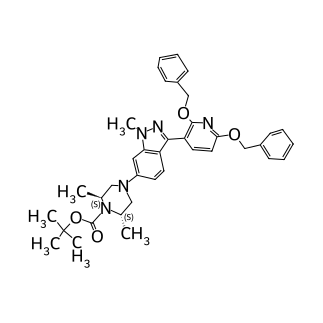 C[C@H]1CN(c2ccc3c(-c4ccc(OCc5ccccc5)nc4OCc4ccccc4)nn(C)c3c2)C[C@H](C)N1C(=O)OC(C)(C)C